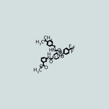 COC(=O)c1cccc(NC(=O)N2CCN(S(=O)(=O)c3ccc(C(F)(F)F)cc3)[C@@H](C(=O)NCc3ccc(C(C)C)cc3)C2)c1